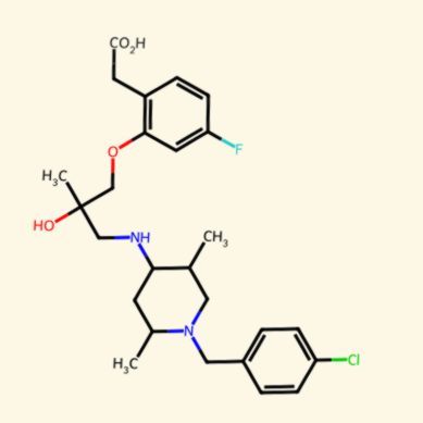 CC1CN(Cc2ccc(Cl)cc2)C(C)CC1NCC(C)(O)COc1cc(F)ccc1CC(=O)O